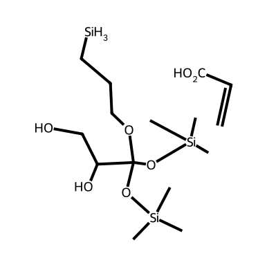 C=CC(=O)O.C[Si](C)(C)OC(OCCC[SiH3])(O[Si](C)(C)C)C(O)CO